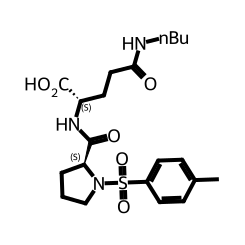 CCCCNC(=O)CC[C@H](NC(=O)[C@@H]1CCCN1S(=O)(=O)c1ccc(C)cc1)C(=O)O